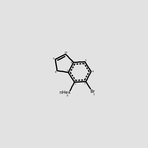 CCCCCCc1c(Br)ccc2c1CC=C2